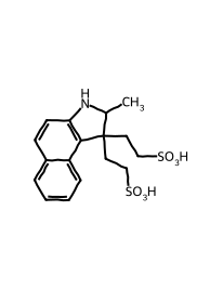 CC1Nc2ccc3ccccc3c2C1(CCS(=O)(=O)O)CCS(=O)(=O)O